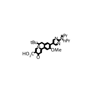 CCCN(CCC)c1ncc(-c2cc3c(cc2OC)-c2cc(=O)c(C(=O)O)cn2C(C(C)(C)C)C3)cn1